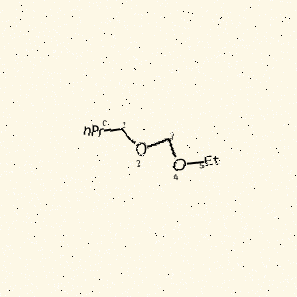 CCCCOCOCC